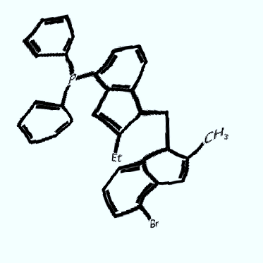 CCC1=Cc2c(cccc2P(c2ccccc2)c2ccccc2)C1CC1C(C)=Cc2c(Br)cccc21